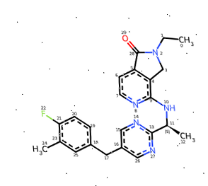 CCN1Cc2c(ccnc2N[C@@H](C)c2ncc(Cc3ccc(F)c(C)c3)cn2)C1=O